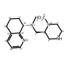 CN(C[C@@H]1CNCCN1C(=O)O)[C@H]1CCCc2cccnc21